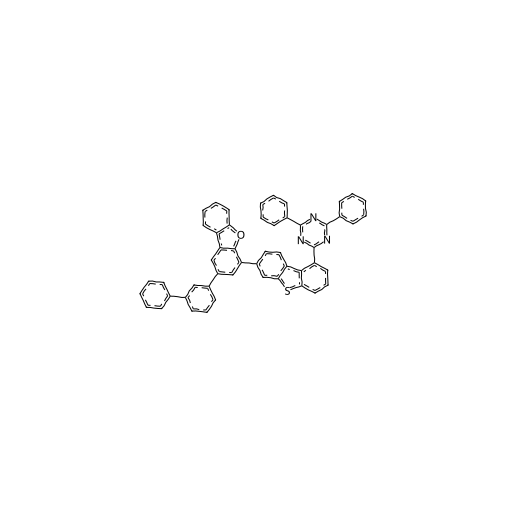 c1ccc(-c2cccc(-c3cc(-c4ccc5c(c4)sc4cccc(-c6nc(-c7ccccc7)nc(-c7ccccc7)n6)c45)c4oc5ccccc5c4c3)c2)cc1